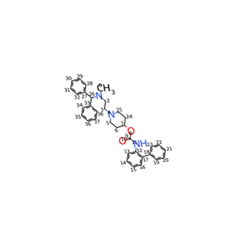 CN(CCN1CCC(OC(=O)Nc2ccccc2-c2ccccc2)CC1)C(c1ccccc1)c1ccccc1